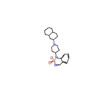 O=S1(=O)N=Cc2ccccc2N1C1CCN(C2CCC3CCCCC3C2)CC1